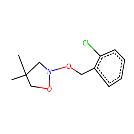 CC1(C)CON(OCc2ccccc2Cl)C1